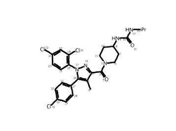 Cc1c(C(=O)N2CCC(NC(=O)NC(C)C)CC2)nn(-c2ccc(Cl)cc2Cl)c1-c1ccc(Cl)cc1